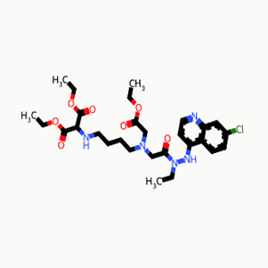 CCOC(=O)CN(CCCCNC(C(=O)OCC)C(=O)OCC)CC(=O)N(CC)Nc1ccnc2cc(Cl)ccc12